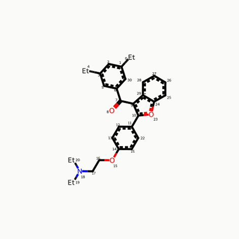 CCc1cc(CC)cc(C(=O)c2c(-c3ccc(OCCN(CC)CC)cc3)oc3ccccc23)c1